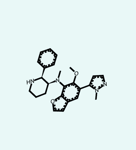 COc1c(-c2ccnn2C)cc2ccoc2c1N(C)[C@H]1CCCN[C@H]1c1ccccc1